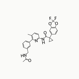 CC(=O)NCc1cccc(-c2nc(NC(=O)C3(c4ccc5c(c4)OC(F)(F)O5)CC3)ccc2C)c1